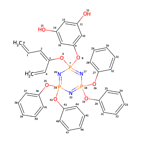 C=C/C=C(\C=C)OP1(Oc2cc(O)cc(O)c2)=NP(Oc2ccccc2)(Oc2ccccc2)=NP(Oc2ccccc2)(Oc2ccccc2)=N1